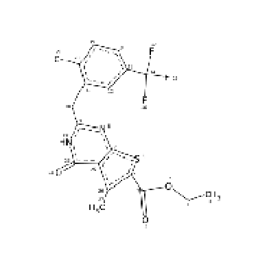 CCOC(=O)c1sc2nc(Cc3cc(C(F)(F)F)ccc3Cl)[nH]c(=O)c2c1C